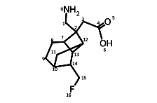 NCC1(CC(=O)O)C2CCC3CC1C2C3CF